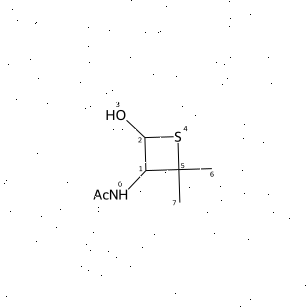 CC(=O)NC1C(O)SC1(C)C